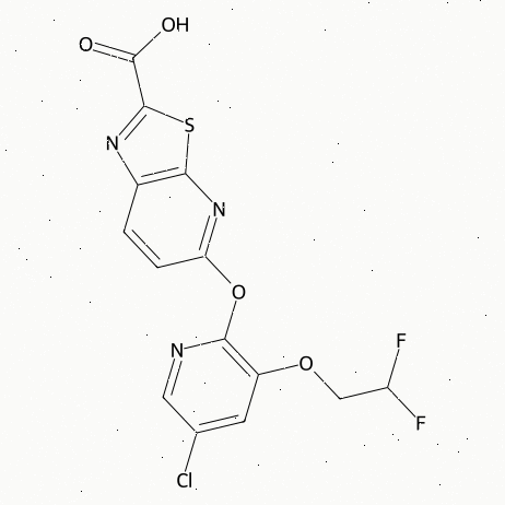 O=C(O)c1nc2ccc(Oc3ncc(Cl)cc3OCC(F)F)nc2s1